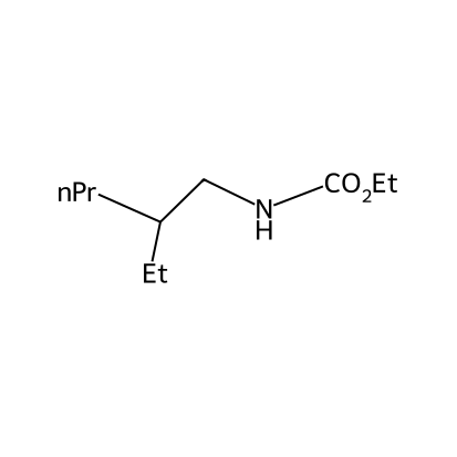 CCCC(CC)CNC(=O)OCC